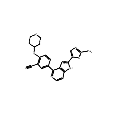 Cc1ncc(-c2cc3c(-c4ccc(OC5CCOCC5)c(C#N)c4)nccc3[nH]2)s1